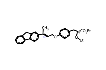 CCOC(=O)[C@H](Cc1ccc(OC/C=C(\C)c2ccc3c(c2)Cc2ccccc2-3)cc1)OCC